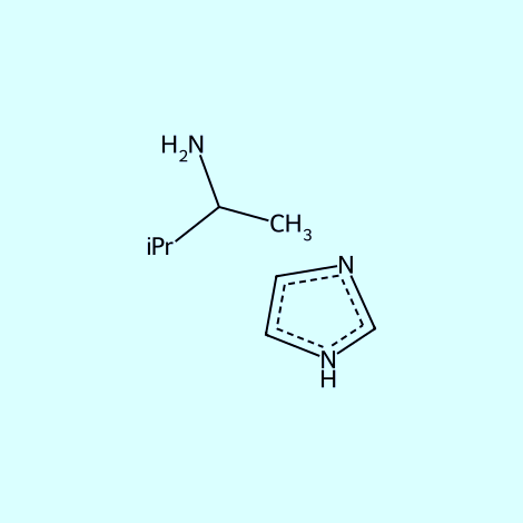 CC(C)C(C)N.c1c[nH]cn1